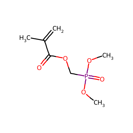 C=C(C)C(=O)OCP(=O)(OC)OC